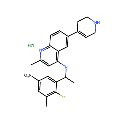 Cc1cc(NC(C)c2cc([N+](=O)[O-])cc(C)c2F)c2cc(C3=CCNCC3)ccc2n1.Cl